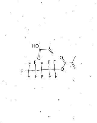 C=C(C)C(=O)O.C=C(C)C(=O)OC(F)(F)C(F)(F)C(F)(F)C(F)(F)C(F)(F)F